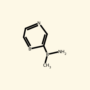 CB(N)c1bccnc1